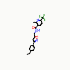 CCc1ccc(-c2cc(CNC(=O)c3ccc(C(F)(F)F)nc3C)on2)cc1